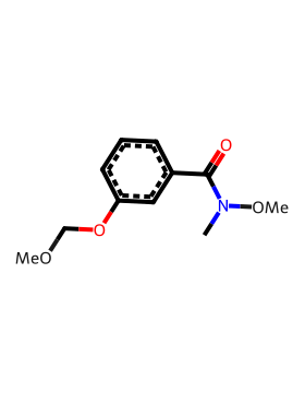 COCOc1cccc(C(=O)N(C)OC)c1